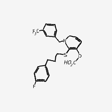 O=C(O)OC1=C(SCCCc2ccc(F)cc2)N(Cc2cccc(C(F)(F)F)c2)CC=C1